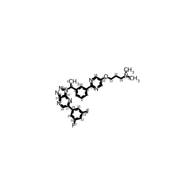 CC(c1cccc(-c2ncc(OCCCN(C)C)cn2)c1)n1nnc2ncc(-c3cc(F)cc(F)c3)nc21